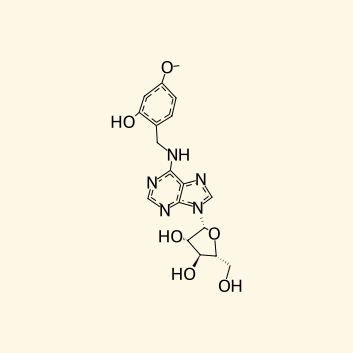 COc1ccc(CNc2ncnc3c2ncn3[C@@H]2O[C@H](CO)[C@@H](O)[C@@H]2O)c(O)c1